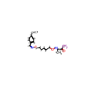 C/C(=N\OCCCCCCO/N=C\c1ccc(C=O)cc1)C(=O)P